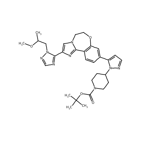 COC(C)Cn1ncnc1-c1cn2c(n1)-c1ccc(-c3ccnn3C3CCN(C(=O)OC(C)(C)C)CC3)cc1OCC2